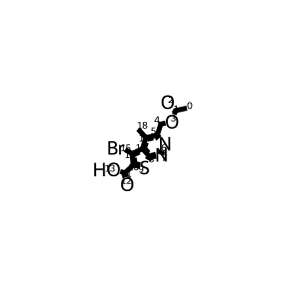 CC(=O)OCc1nnc2sc(C(=O)O)c(Br)c2c1C